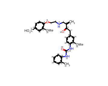 C=C(CNCCOc1ccc(C(=O)O)cc1OC)C(=O)Cc1ccc(NC(=O)Nc2ccccc2C)c(OC)c1